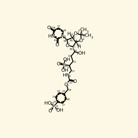 CC1(C)O[C@@H]2[C@H](O1)[C@@H](C(O)CCC(CNC(=O)OCc1ccc(P(=O)(O)O)cc1)P(=O)(O)O)O[C@H]2n1ccc(=O)[nH]c1=O